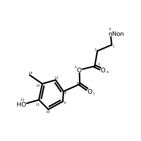 CCCCCCCCCCCC(=O)OC(=O)c1ccc(O)c(C)c1